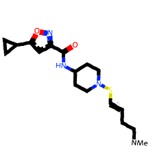 CNCC/C=C/SN1CCC(NC(=O)c2cc(C3CC3)on2)CC1